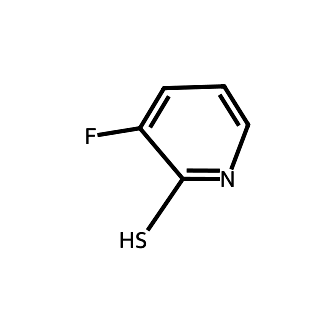 Fc1cccnc1S